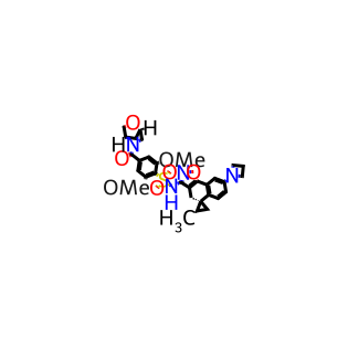 COc1cc(C(=O)N2C[C@@H]3C[C@H]2CO3)cc(OC)c1S(=O)(=O)Nc1noc2c1C[C@@]1(C[C@@H]1C)c1ccc(N3CCC3)cc1-2